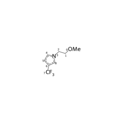 COCCn1ccc(C(F)(F)F)c1